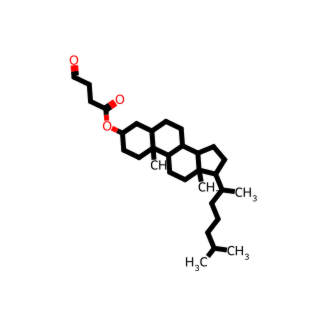 CC(C)CCCC(C)C1CCC2C3CCC4CC(OC(=O)CCC=O)CCC4(C)C3CCC12C